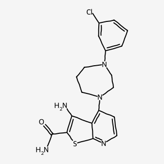 NC(=O)c1sc2nccc(N3CCCN(c4cccc(Cl)c4)CC3)c2c1N